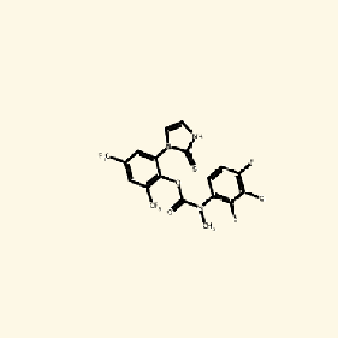 CN(C(=O)Oc1c(-n2cc[nH]c2=S)cc(C(F)(F)F)cc1C(F)(F)F)c1ccc(F)c(Cl)c1F